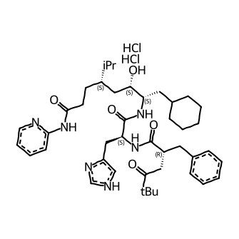 CC(C)[C@@H](CCC(=O)Nc1ccccn1)C[C@H](O)[C@H](CC1CCCCC1)NC(=O)[C@H](Cc1c[nH]cn1)NC(=O)[C@@H](CC(=O)C(C)(C)C)Cc1ccccc1.Cl.Cl